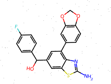 Nc1nc2c(-c3ccc4c(c3)OCO4)cc(C(O)c3ccc(F)cc3)cc2s1